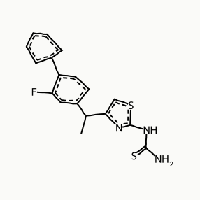 CC(c1ccc(-c2ccccc2)c(F)c1)c1csc(NC(N)=S)n1